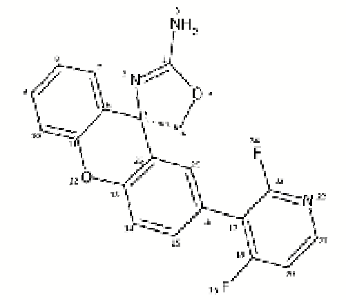 NC1=N[C@]2(CO1)c1ccccc1Oc1ccc(-c3c(F)ccnc3F)cc12